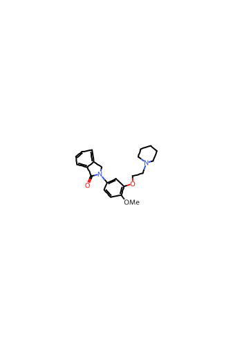 COc1ccc(N2Cc3ccccc3C2=O)cc1OCCN1CCCCC1